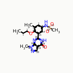 CCCOc1c(C)cc(NS(C)(=O)=O)cc1-c1nc2c(cnn2C)c(=O)[nH]1